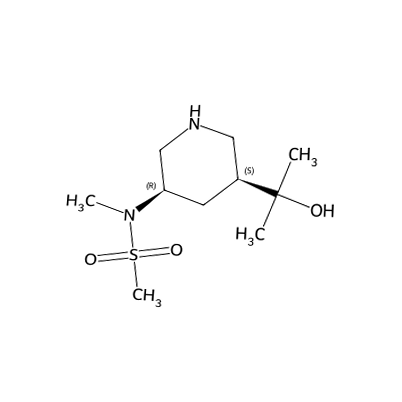 CN([C@H]1CNC[C@@H](C(C)(C)O)C1)S(C)(=O)=O